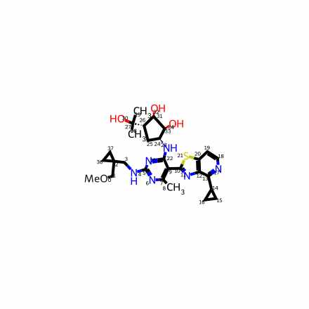 COCC1(CNc2nc(C)c(-c3nc4c(C5CC5)nccc4s3)c(N[C@@H]3C[C@H](C(C)(C)O)[C@@H](O)[C@H]3O)n2)CC1